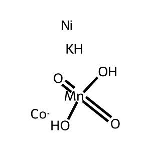 [Co].[KH].[Ni].[O]=[Mn](=[O])([OH])[OH]